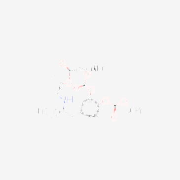 CCCOC(=O)Oc1ccc(C[C@H](NCC(C)OC(=O)C(C)CCC)C(=O)O)cc1OC(=O)OCCC